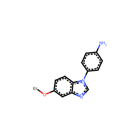 CCOc1ccc2c(c1)ncn2-c1ccc(N)cc1